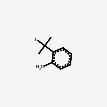 CC(C)(F)c1ccccc1N